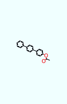 CC(=O)Oc1ccc(-c2ccc(-c3ccccc3)cc2)cc1